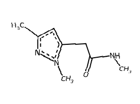 CNC(=O)Cc1cc(C)nn1C